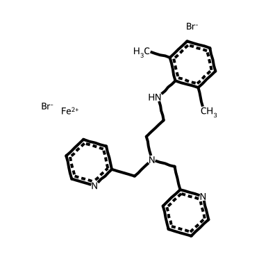 Cc1cccc(C)c1NCCN(Cc1ccccn1)Cc1ccccn1.[Br-].[Br-].[Fe+2]